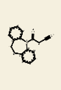 N#CCC(=O)N1c2ccccc2CCc2ccccc21